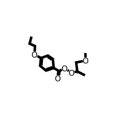 CCCOc1ccc(C(=O)OO[C](C)COC)cc1